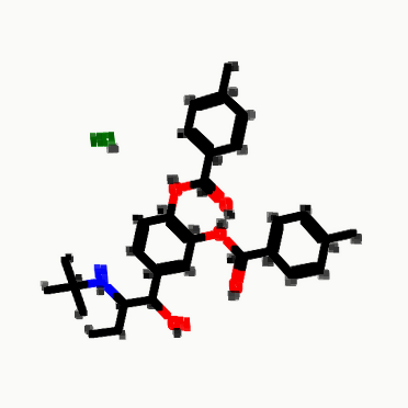 CCC(NC(C)(C)C)C(O)c1ccc(OC(=O)c2ccc(C)cc2)c(OC(=O)c2ccc(C)cc2)c1.Cl